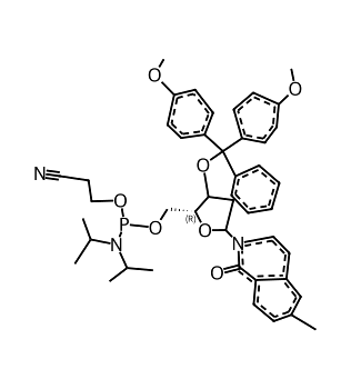 COc1ccc(C(OC2CC(n3ccc4cc(C)ccc4c3=O)O[C@@H]2COP(OCCC#N)N(C(C)C)C(C)C)(c2ccccc2)c2ccc(OC)cc2)cc1